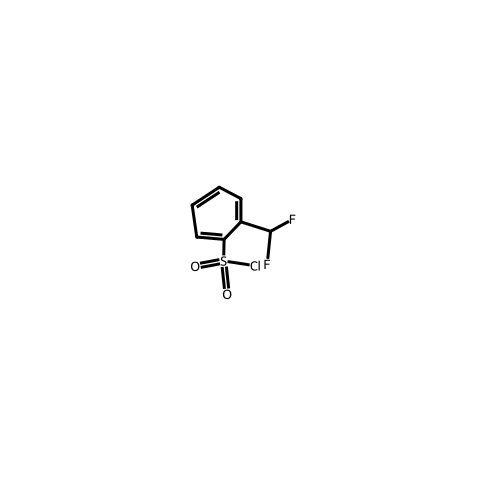 O=S(=O)(Cl)c1ccccc1C(F)F